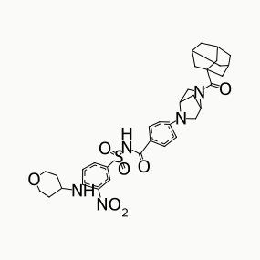 O=C(NS(=O)(=O)c1ccc(NC2CCOCC2)c([N+](=O)[O-])c1)c1ccc(N2CC3CC2CN3C(=O)C23CC4CC(CC(C4)C2)C3)cc1